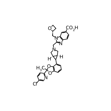 CC1(c2ccc(Cl)cn2)Oc2cccc(C3[C@H]4CN(Cc5nc6ccc(C(=O)O)cc6n5C[C@@H]5CCO5)C[C@@H]34)c2O1